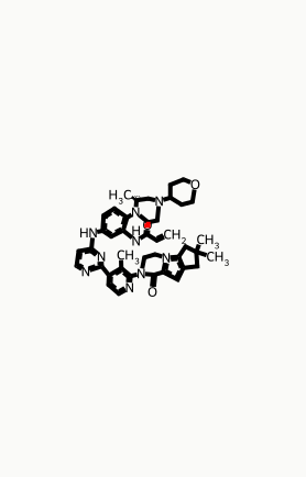 C=CC(=O)Nc1cc(Nc2ccnc(-c3ccnc(N4CCn5c(cc6c5CC(C)(C)C6)C4=O)c3C)n2)ccc1N1CCN(C2CCOCC2)C[C@@H]1C